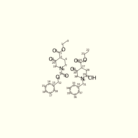 CCOC(=O)C1CCN(C(=O)OCc2ccccc2)CC1=O.CCOC(=O)C1CCN(Cc2ccccc2)CC1=O.Cl